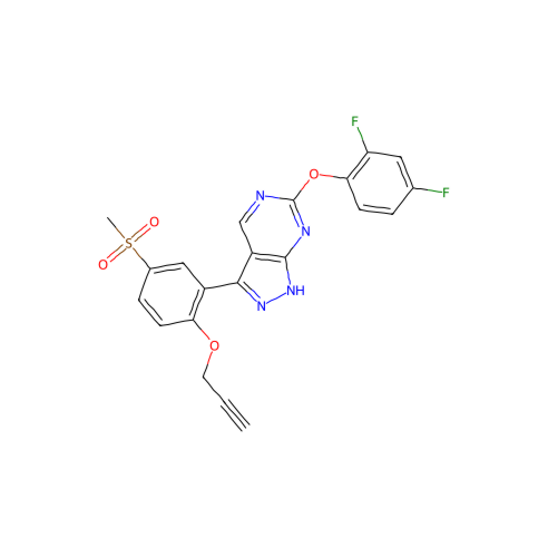 C#CCOc1ccc(S(C)(=O)=O)cc1-c1n[nH]c2nc(Oc3ccc(F)cc3F)ncc12